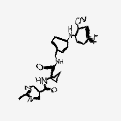 Cc1ncc(C(=O)NC2(C(=O)NCc3ccc(Nc4ccc(F)cc4C#N)cc3)CC2)cn1